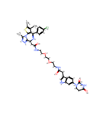 Cc1sc2c(c1C)C(c1ccc(Cl)cc1)=N[C@@H](CC(=O)NCCOCCOCCNC(=O)Cc1c[nH]c3cc(N4CCC(=O)NC4=O)ccc13)c1nnc(C)n1-2